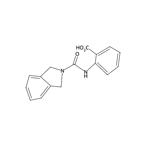 O=C(O)c1ccccc1NC(=O)N1Cc2ccccc2C1